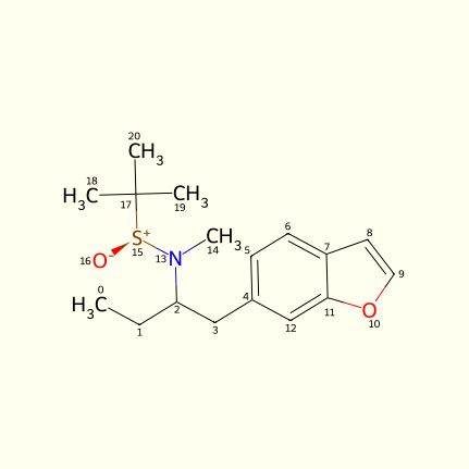 CCC(Cc1ccc2ccoc2c1)N(C)[S@@+]([O-])C(C)(C)C